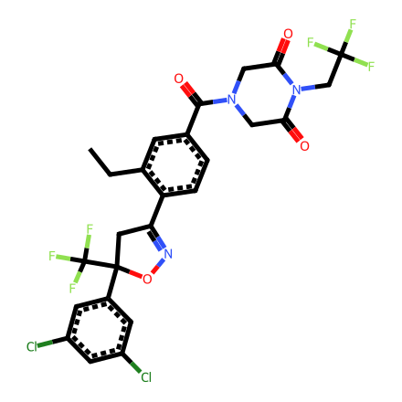 CCc1cc(C(=O)N2CC(=O)N(CC(F)(F)F)C(=O)C2)ccc1C1=NOC(c2cc(Cl)cc(Cl)c2)(C(F)(F)F)C1